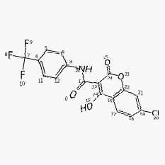 O=C(Nc1ccc(C(F)(F)F)cc1)c1c(O)c2ccc(Cl)cc2oc1=O